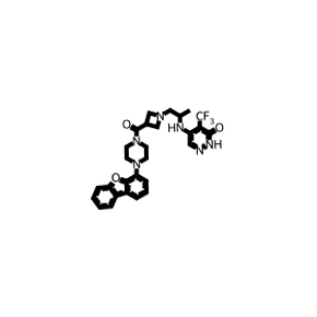 CC(CN1CC(C(=O)N2CCN(c3cccc4c3oc3ccccc34)CC2)C1)Nc1cn[nH]c(=O)c1C(F)(F)F